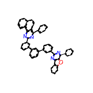 c1ccc(-c2nc(-c3cccc(-c4cccc(-c5cccc(-c6nc(-c7ccccc7)c7oc8ccccc8c7n6)c5)c4)c3)nc3c2ccc2ccccc23)cc1